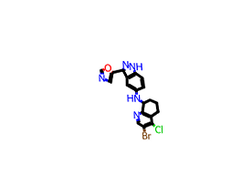 Clc1c(Br)cnc2c1CCCC2Nc1ccc2[nH]nc(-c3cnco3)c2c1